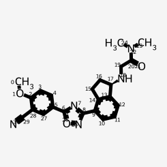 COc1ccc(-c2nc(-c3cccc4c3CC[C@H]4NCC(=O)N(C)C)no2)cc1C#N